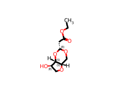 CCOC(=O)C[C@@H]1OC[C@@H]2OC[C@@H](O)[C@@H]2O1